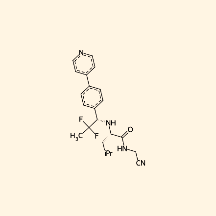 CC(C)C[C@H](N[C@@H](c1ccc(-c2ccncc2)cc1)C(C)(F)F)C(=O)NCC#N